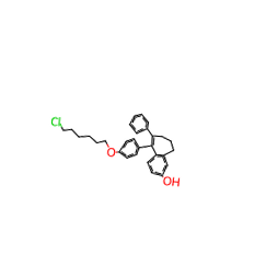 Oc1ccc2c(c1)CCCC(c1ccccc1)=C2c1ccc(OCCCCCCCl)cc1